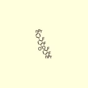 CCCc1ccc(-c2ccc(C(=O)Oc3ccc(CCC)c(F)c3F)c(F)c2F)cc1